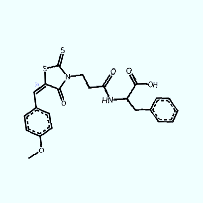 COc1ccc(/C=C2/SC(=S)N(CCC(=O)NC(Cc3ccccc3)C(=O)O)C2=O)cc1